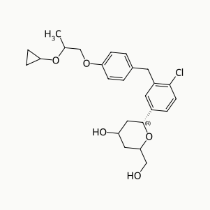 CC(COc1ccc(Cc2cc([C@H]3CC(O)CC(CO)O3)ccc2Cl)cc1)OC1CC1